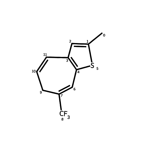 Cc1cc2c(s1)C=C(C(F)(F)F)CC=C2